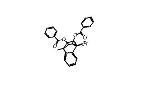 CC(C)C12CCC(C)(c3ccccc31)C(OC(=O)c1ccccc1)C2OC(=O)c1ccccc1